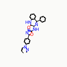 C=NN(/C=C\C)c1ccc(-c2nnc(NC3N=C(c4ccccc4)c4ccccc4NC3=O)o2)cc1